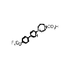 O=C(O)N1CCCN(c2ccc(-c3ccc(OC(F)(F)F)cc3)cn2)CC1